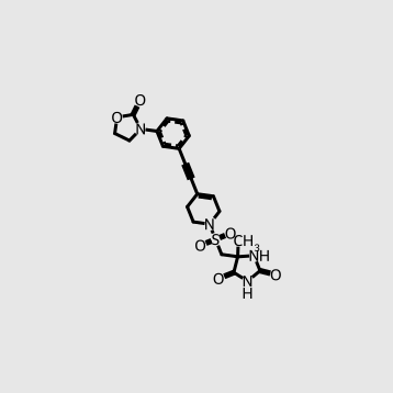 CC1(CS(=O)(=O)N2CC=C(C#Cc3cccc(N4CCOC4=O)c3)CC2)NC(=O)NC1=O